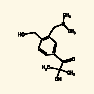 CN(C)Cc1cc(C(=O)C(C)(C)O)ccc1CO